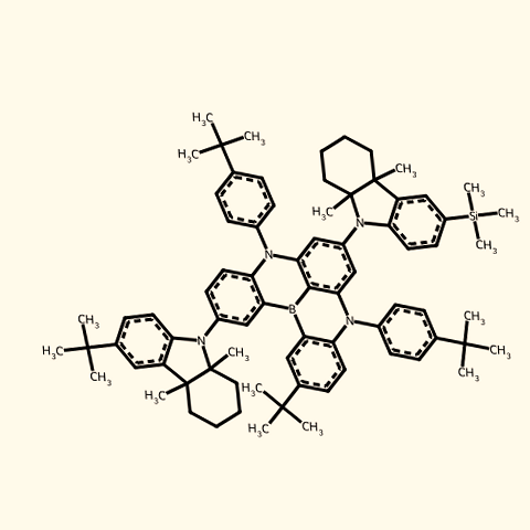 CC(C)(C)c1ccc(N2c3ccc(N4c5ccc(C(C)(C)C)cc5C5(C)CCCCC45C)cc3B3c4cc(C(C)(C)C)ccc4N(c4ccc(C(C)(C)C)cc4)c4cc(N5c6ccc([Si](C)(C)C)cc6C6(C)CCCCC56C)cc2c43)cc1